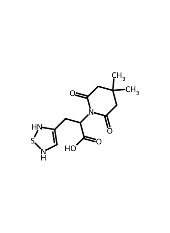 CC1(C)CC(=O)N(C(CC2=CNSN2)C(=O)O)C(=O)C1